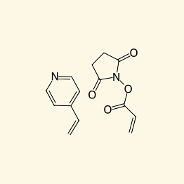 C=CC(=O)ON1C(=O)CCC1=O.C=Cc1ccncc1